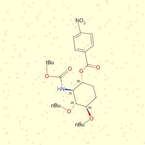 CCCCO[C@@H]1[C@@H](NC(=O)OC(C)(C)C)[C@H](OC(=O)c2ccc([N+](=O)[O-])cc2)CC[C@H]1OCCCC